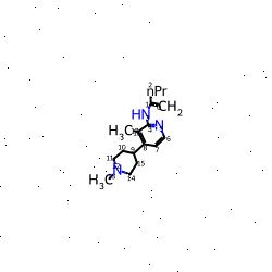 C=C(CCC)Nc1nccc(C2CCN(C)CC2)c1C